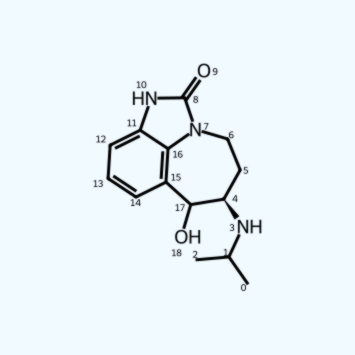 CC(C)N[C@@H]1CCn2c(=O)[nH]c3cccc(c32)C1O